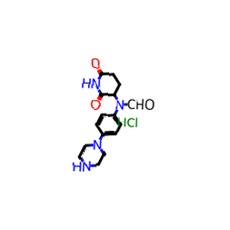 Cl.O=CN(c1ccc(N2CCNCC2)cc1)C1CCC(=O)NC1=O